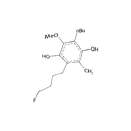 CCCCc1c(O)c(C)c(CCCCF)c(O)c1OC